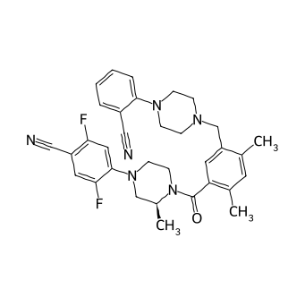 Cc1cc(C)c(C(=O)N2CCN(c3cc(F)c(C#N)cc3F)C[C@@H]2C)cc1CN1CCN(c2ccccc2C#N)CC1